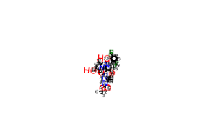 CC(C)(C)OC(=O)N1CCN2C(=O)c3c(N4CC(O)CC4(C)C)nc(-c4c(F)ccc(F)c4O)c(F)c3OC[C@H]2C1